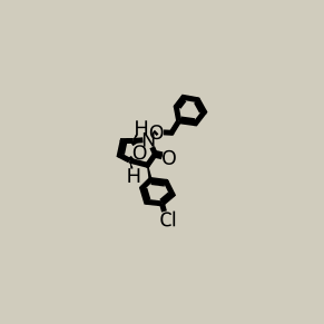 O=C1[C@@H](c2ccc(Cl)cc2)[C@H]2C=C[C@H](O2)N1OCc1ccccc1